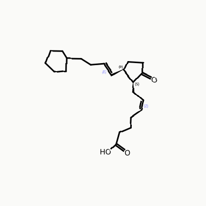 O=C(O)CCC/C=C\C[C@@H]1C(=O)CC[C@@H]1/C=C/CCC1CCCCC1